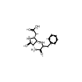 NC(=O)C(Cc1ccccc1)N[C@H]1CC(=O)N[C@H]1CC(=O)O